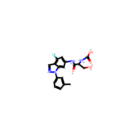 Cc1cccc(-n2ncc3c(F)cc(NC(=O)C(CO)NC(=O)O)cc32)c1